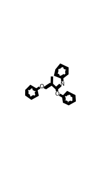 CC(=C\Oc1ccccc1)/C(=N\c1ccccc1)Oc1ccccc1